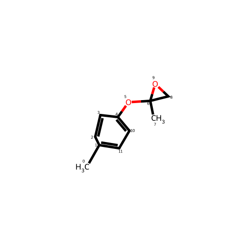 Cc1ccc(OC2(C)CO2)cc1